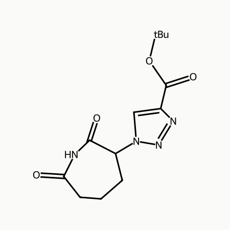 CC(C)(C)OC(=O)c1cn(C2CCCC(=O)NC2=O)nn1